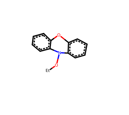 CCON1c2ccccc2Oc2ccccc21